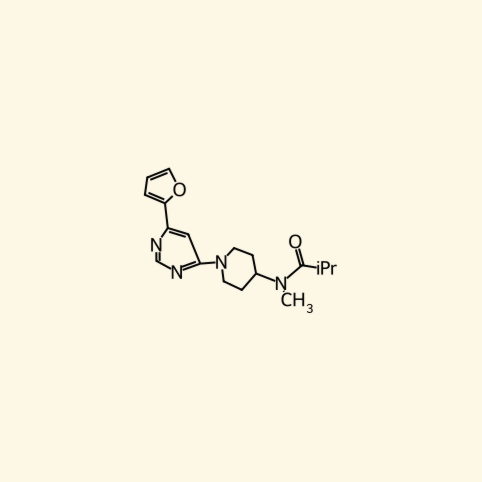 CC(C)C(=O)N(C)C1CCN(c2cc(-c3ccco3)ncn2)CC1